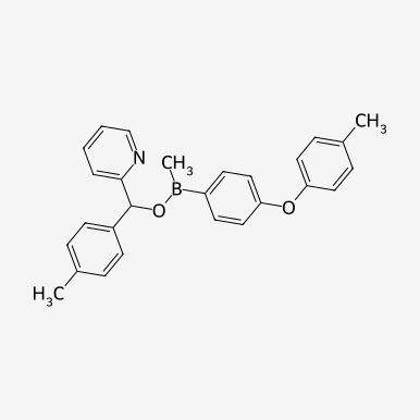 CB(OC(c1ccc(C)cc1)c1ccccn1)c1ccc(Oc2ccc(C)cc2)cc1